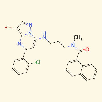 CN(CCCNc1cc(-c2ccccc2Cl)nc2c(Br)cnn12)C(=O)c1cccc2ccccc12